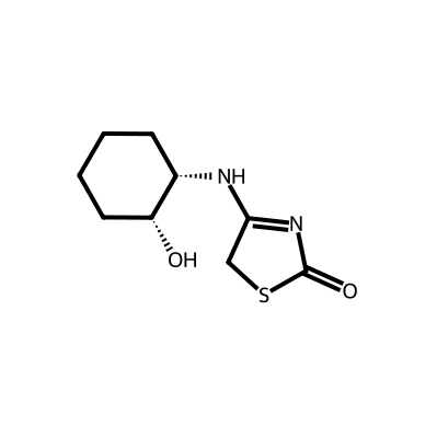 O=C1N=C(N[C@H]2CCCC[C@H]2O)CS1